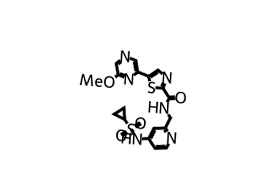 COc1cncc(-c2cnc(C(=O)NCc3cc(NS(=O)(=O)C4CC4)ccn3)s2)n1